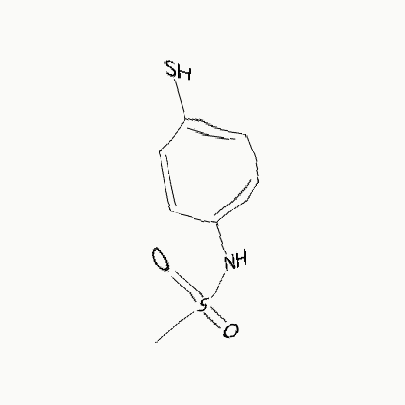 CS(=O)(=O)Nc1ccc(S)cc1